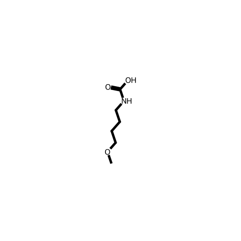 COCCCCNC(=O)O